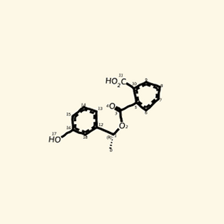 C[C@@H](OC(=O)c1ccccc1C(=O)O)c1cccc(O)c1